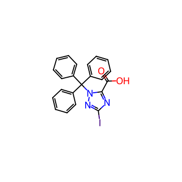 O=C(O)c1nc(I)nn1C(c1ccccc1)(c1ccccc1)c1ccccc1